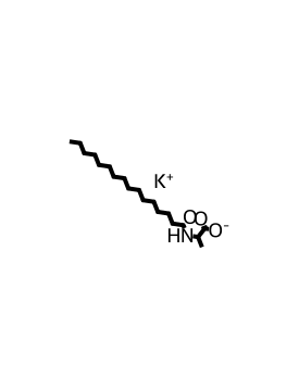 CCCCCCCCCCCCCCCC(=O)NC(C)C(=O)[O-].[K+]